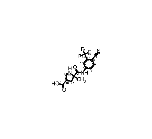 CC1(C(=O)Nc2ccc(C#N)c(C(F)(F)F)c2)CC(C(=O)O)=NN1